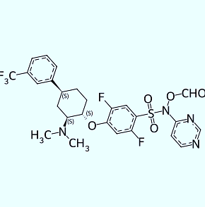 CN(C)[C@H]1C[C@@H](c2cccc(C(F)(F)F)c2)CC[C@@H]1Oc1cc(F)c(S(=O)(=O)N(OC=O)c2ccncn2)cc1F